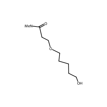 CNC(=O)CCOCCCCCO